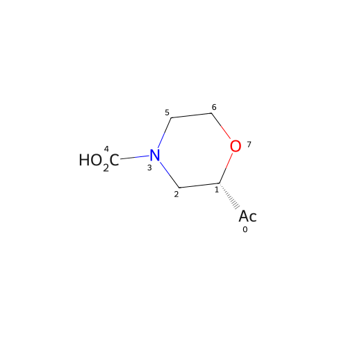 CC(=O)[C@@H]1CN(C(=O)O)CCO1